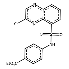 CCOC(=O)c1ccc(NS(=O)(=O)c2cccc3ncc(Cl)nc23)cc1